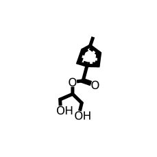 Cc1ccc(C(=O)OC(CO)CO)cc1